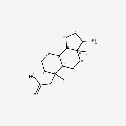 C=C(O)CC1(C)CCCC2C1CCC1(C)C(CC)CCC21